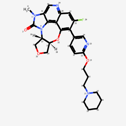 Cn1c(=O)n2c3c4c(c(-c5ccc(OCCCN6CCCCC6)nc5)c(F)cc4ncc31)O[C@H]1COC[C@@H]12